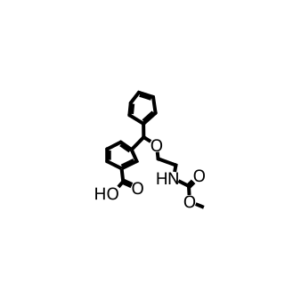 COC(=O)NCCOC(c1ccccc1)c1cccc(C(=O)O)c1